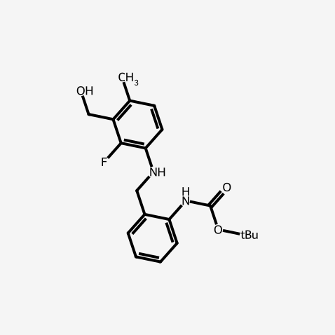 Cc1ccc(NCc2ccccc2NC(=O)OC(C)(C)C)c(F)c1CO